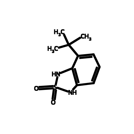 CC(C)(C)c1cccc2c1NS(=O)(=O)N2